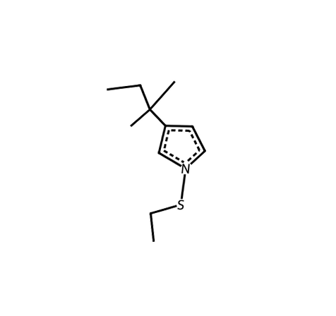 CCSn1ccc(C(C)(C)CC)c1